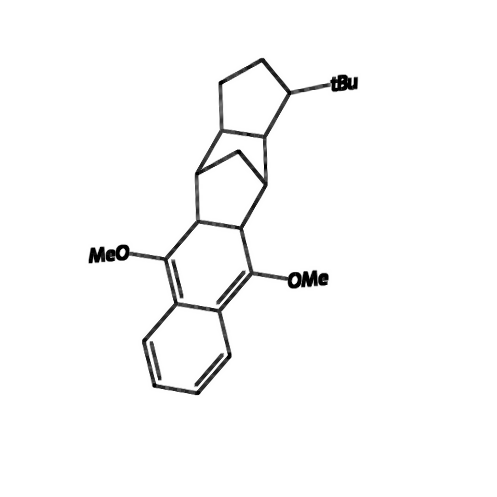 COC1=c2ccccc2=C(OC)C2C3CC(C4CCC(C(C)(C)C)C43)C12